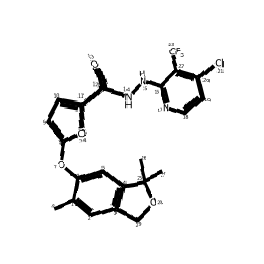 Cc1cc2c(cc1Oc1ccc(C(=O)NNc3nccc(Cl)c3C(F)(F)F)o1)C(C)(C)OC2